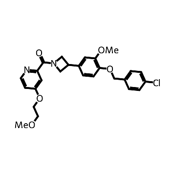 COCCOc1ccnc(C(=O)N2CC(c3ccc(OCc4ccc(Cl)cc4)c(OC)c3)C2)c1